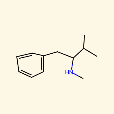 CNC(Cc1ccccc1)C(C)C